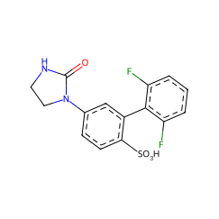 O=C1NCCN1c1ccc(S(=O)(=O)O)c(-c2c(F)cccc2F)c1